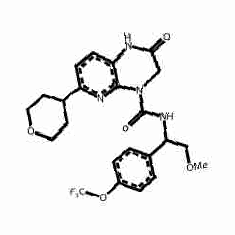 COCC(NC(=O)N1CC(=O)Nc2ccc(C3CCOCC3)nc21)c1ccc(OC(F)(F)F)cc1